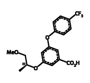 COC[C@H](C)Oc1cc(Oc2ccc(C(F)(F)F)cc2)cc(C(=O)O)c1